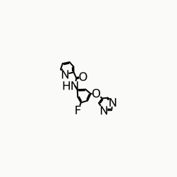 O=C(Nc1cc(F)cc(Oc2cncnc2)c1)c1ccccn1